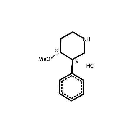 CO[C@@H]1CCNC[C@H]1c1ccccc1.Cl